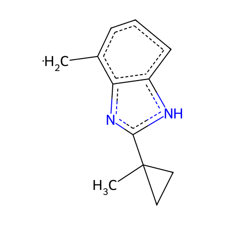 [CH2]c1cccc2[nH]c(C3(C)CC3)nc12